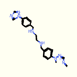 C=N/C=N\N(C)c1ccc(CNCCNCc2ccc(-n3cncn3)cc2)cc1